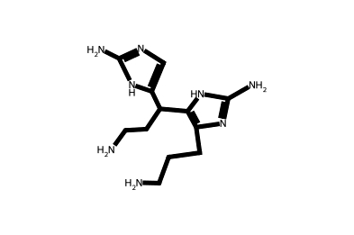 NCCCc1nc(N)[nH]c1C(CCN)c1cnc(N)[nH]1